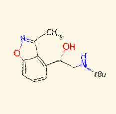 Cc1noc2cccc([C@H](O)CNC(C)(C)C)c12